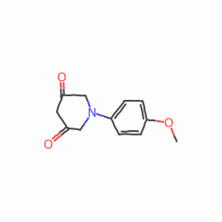 COc1ccc(N2CC(=O)CC(=O)C2)cc1